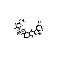 Cc1nc(I)c(S(=O)(=O)Nc2ccc(F)c(C(=O)c3c[nH]c4ncc(Cl)cc34)c2F)s1